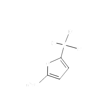 CCCCCc1ccc(S(CC)(CC)CC)o1